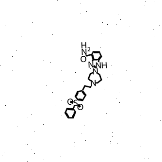 NC(=O)c1cccc2[nH]c(N3CCCN(CCc4ccc(S(=O)(=O)c5ccccc5)cc4)CC3)nc12